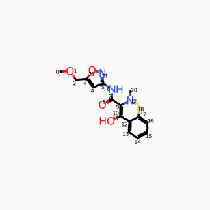 COCc1cc(NC(=O)C2=C(O)c3ccccc3SN2C)no1